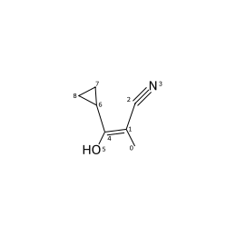 C/C(C#N)=C(\O)C1CC1